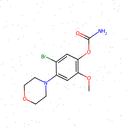 COc1cc(N2CCOCC2)c(Br)cc1OC(N)=O